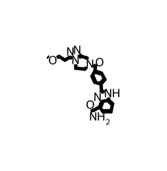 COCCc1nnc2n1CCN(C(=O)c1ccc(-c3nc4c(C(N)=O)cccc4[nH]3)cc1)C2